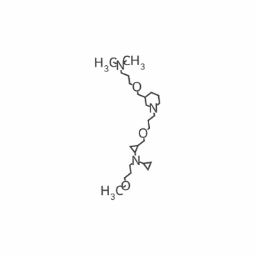 COCCCN(C1CC1)C1CC1COCCCN1CCCC(COCCCN(C)C)C1